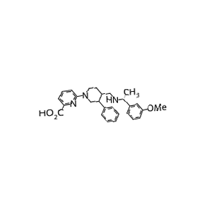 COc1cccc([C@@H](C)NCC2CCN(c3cccc(C(=O)O)n3)CC2c2ccccc2)c1